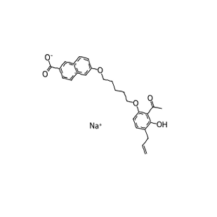 C=CCc1ccc(OCCCCCOc2ccc3cc(C(=O)[O-])ccc3c2)c(C(C)=O)c1O.[Na+]